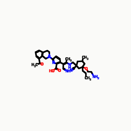 CCCC1(OCCN)CC(C)CC(C#N)(CN/C(C)=C(\C=N)c2ccc(N3CCc4cccc(C(C)=O)c4C3)nc2C(=O)O)C1